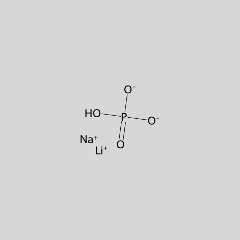 O=P([O-])([O-])O.[Li+].[Na+]